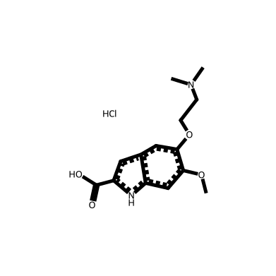 COc1cc2[nH]c(C(=O)O)cc2cc1OCCN(C)C.Cl